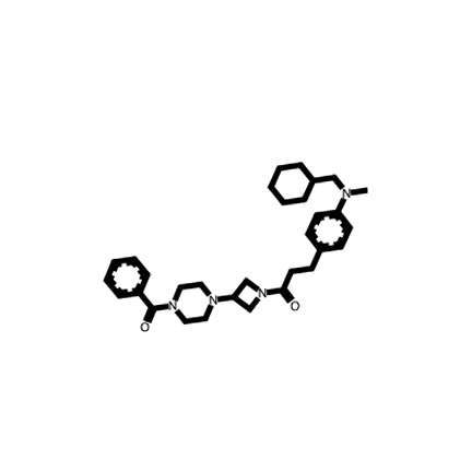 CN(CC1CCCCC1)c1ccc(CCC(=O)N2CC(N3CCN(C(=O)c4ccccc4)CC3)C2)cc1